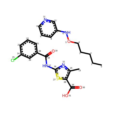 CCCCCONc1cccnc1.Cc1nc(NC(=O)c2cccc(Cl)c2)sc1C(=O)O